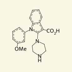 COc1cccc(-n2c(N3CCNCC3)c(C(=O)O)c3ccccc32)c1